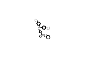 O=C(NCC1CCCCC1)N1CC(OC(c2ccc(Cl)cc2)c2ccc(Cl)cc2)C1